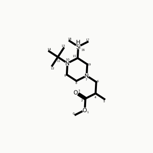 COC(=O)C(C)CN1CCN(C(C)(C)C)C([SiH](C)C)C1